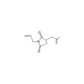 C=CCN1C(=O)CC(CC(=C)C)C1=O